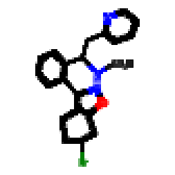 O=C(O)NC(Cc1ccccn1)c1ccccc1-c1noc2cc(Br)ccc12